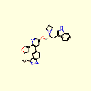 Cc1n[nH]c2ccc(-c3cc(OC[C@@H](Cc4c[nH]c5ccccc45)N4CCC4)cnc3-c3ccoc3)cc12